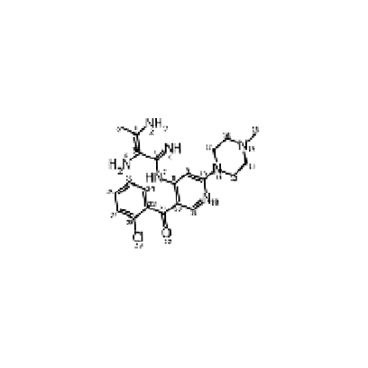 C/C(N)=C(\N)C(=N)Nc1cc(N2CCN(C)CC2)ncc1C(=O)c1ccccc1Cl